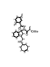 CO[C@@H](C)C(=O)N1N=C(c2cc(F)ccc2F)OC1(CCCNC1CCC=CCC1)c1ccccc1